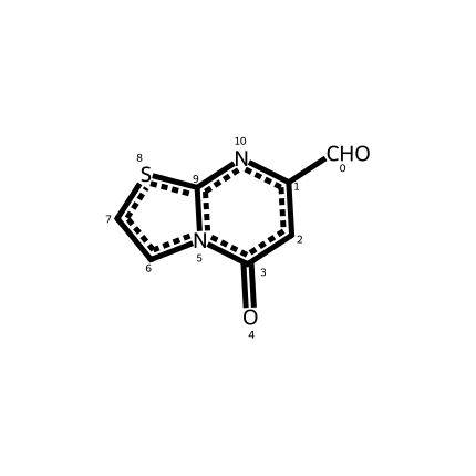 O=Cc1cc(=O)n2ccsc2n1